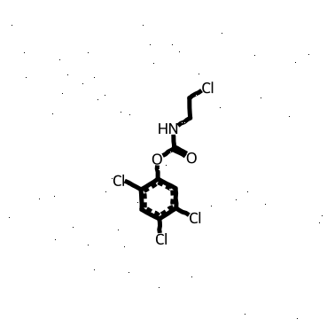 O=C(NCCCl)Oc1cc(Cl)c(Cl)cc1Cl